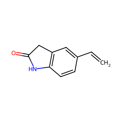 C=Cc1ccc2c(c1)CC(=O)N2